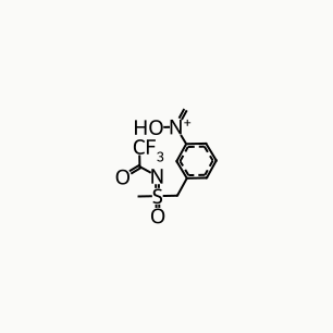 C=[N+](O)c1cccc(CS(C)(=O)=NC(=O)C(F)(F)F)c1